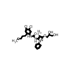 COCCCc1cc(Cl)c(Cl)cc1NC(=O)Nc1c(C)c(OCC(O)CO)nn1-c1ccccc1